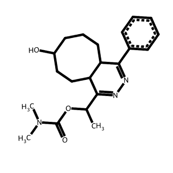 CC(OC(=O)N(C)C)C1=NN=C(c2ccccc2)C2CCCC(O)CCC12